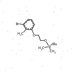 Cc1c(Br)cccc1OCCO[Si](C)(C)C(C)(C)C